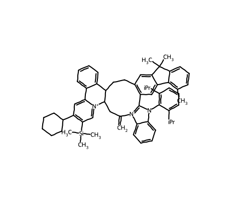 C=C1CC2C(CCc3cc4c(cc3-c3n(-c5c(C(C)C)cccc5C(C)C)c5ccccc5[n+]31)-c1c(C)cccc1C4(C)C)c1ccccc1-c1cc(C3CCCCC3)c([Si](C)(C)C)c[n+]12